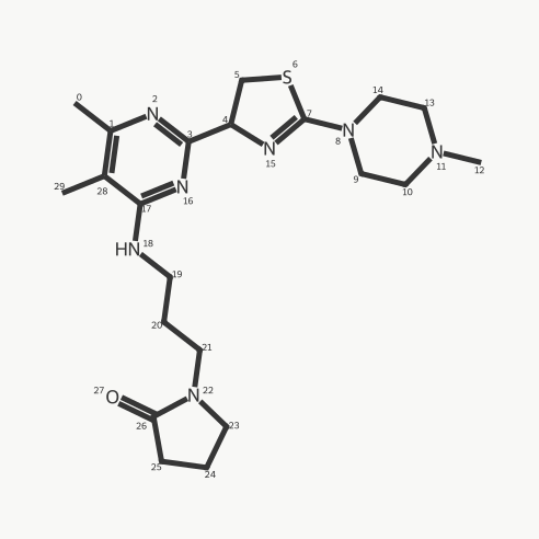 Cc1nc(C2CSC(N3CCN(C)CC3)=N2)nc(NCCCN2CCCC2=O)c1C